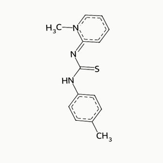 Cc1ccc(NC(=S)N=c2ccccn2C)cc1